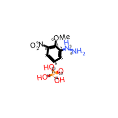 COc1c(NN)cccc1[N+](=O)[O-].O=P(O)(O)O